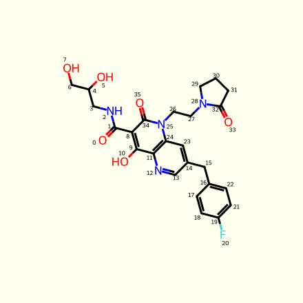 O=C(NCC(O)CO)c1c(O)c2ncc(Cc3ccc(F)cc3)cc2n(CCN2CCCC2=O)c1=O